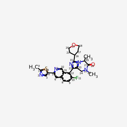 Cc1ncc(-c2cc3ccc(F)c(-c4nc(C5CCOCC5)n5c4CN(C)C(=O)C5C)c3cn2)s1